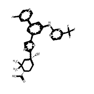 CC1(C)C[C@@](O)(c2ncc(-c3cc(Nc4nccc(C(F)(F)F)n4)cc(-c4cncc(F)c4)c3)s2)CC[C@@H]1C(=O)O